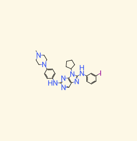 CN1CCN(c2ccc(Nc3ncc4nc(Nc5cccc(I)c5)n(C5CCCC5)c4n3)cc2)CC1